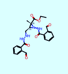 CCOC(=O)[C@@]1(C)[C@H](CNNC(=O)c2ccccc2C=O)N1NC(=O)c1ccccc1C=O